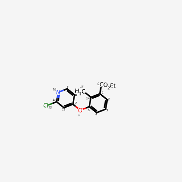 CCOC(=O)c1cccc(Oc2ccnc(Cl)c2)c1C